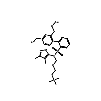 Cc1noc(N(COCC[Si](C)(C)C)S(=O)(=O)c2ccccc2-c2ccc(CBr)cc2COC(C)(C)C)c1C